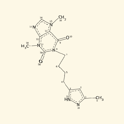 Cc1cc(CCCCn2c(=O)c3c(ncn3C)n(C)c2=O)[nH]n1